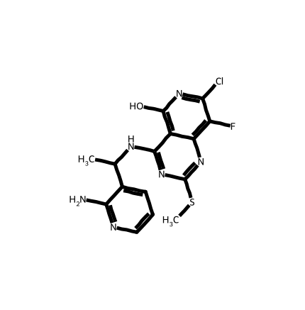 CSc1nc(NC(C)c2cccnc2N)c2c(O)nc(Cl)c(F)c2n1